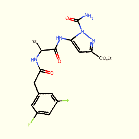 CCOC(=O)c1cc(NC(=O)C(CC)NC(=O)Cc2cc(F)cc(F)c2)n(C(N)=O)n1